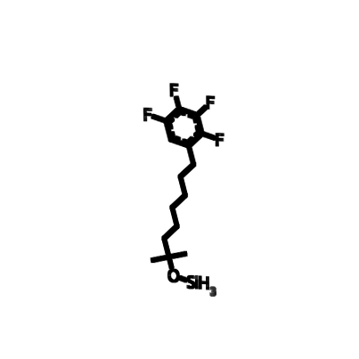 CC(C)(CCCCCCc1cc(F)c(F)c(F)c1F)O[SiH3]